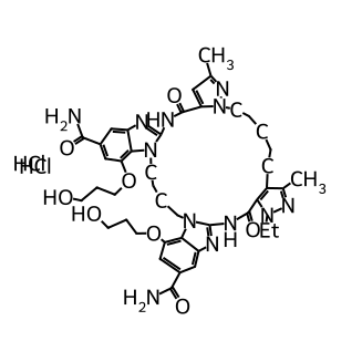 CCn1nc(C)c2c1C(=O)Nc1nc3cc(C(N)=O)cc(OCCCO)c3n1CCCCn1c(nc3cc(C(N)=O)cc(OCCCO)c31)NC(=O)c1cc(C)nn1CCCCC2.Cl.Cl